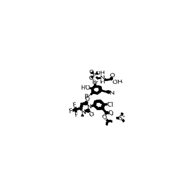 CC(C)OC(=O)c1cc(-n2c(=O)cc(C(F)(F)F)n(C)c2=O)ccc1Cl.C[S+](C)C.N#Cc1cc(Br)c(O)c(Br)c1.O=C(O)CNCP(=O)([O-])O